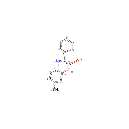 Cc1ccc2nc(-c3ccccc3)c(=O)oc2c1